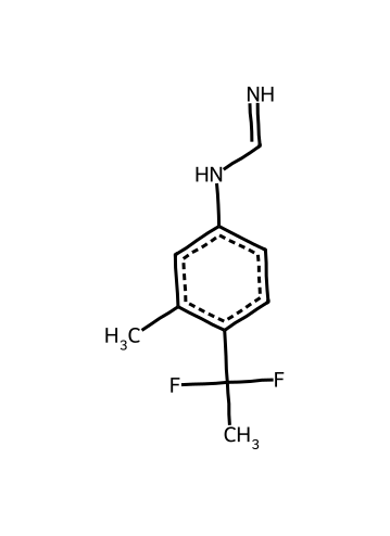 Cc1cc(NC=N)ccc1C(C)(F)F